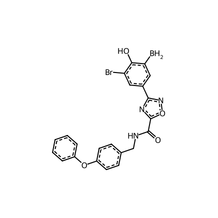 Bc1cc(-c2noc(C(=O)NCc3ccc(Oc4ccccc4)cc3)n2)cc(Br)c1O